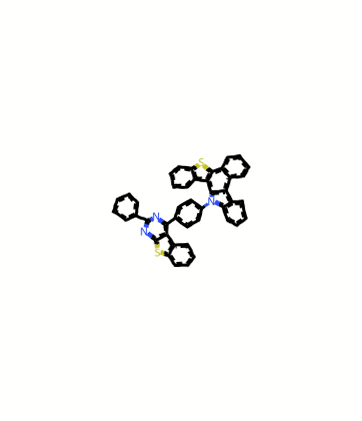 c1ccc(-c2nc(-c3ccc(-n4c5ccccc5c5c6ccccc6c6sc7ccccc7c6c54)cc3)c3c(n2)sc2ccccc23)cc1